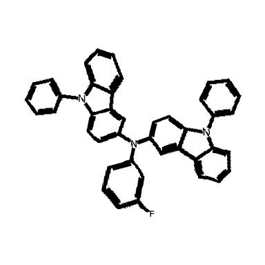 Fc1cccc(N(c2ccc3c(c2)c2ccccc2n3-c2ccccc2)c2ccc3c(c2)c2ccccc2n3-c2ccccc2)c1